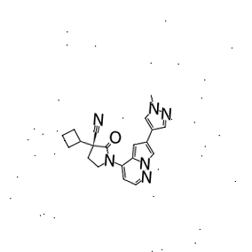 Cn1cc(-c2cc3c(N4CC[C@](C#N)(C5CCC5)C4=O)ccnn3c2)cn1